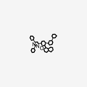 c1ccc(-c2cccc(-c3ccc(-c4cc(-c5ccccc5)nc(-c5ccccc5)n4)c4oc5ccc6ccccc6c5c34)c2)cc1